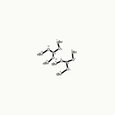 CC(C)(C)OB(OC(C)(C)C)OC(C)(C)C.CCCCOB(OCCCC)OCCCC